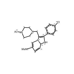 CNC1=CN2C(CN3CCN(C(C)=O)CC3)=C(c3ccc(Cl)cc3)NC2C=C1